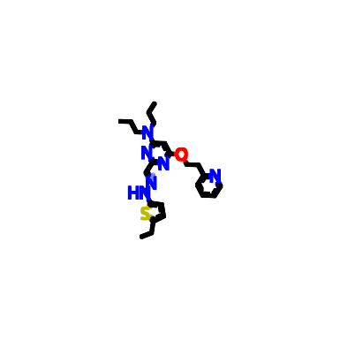 CCCN(CCC)c1cc(OCCc2ccccn2)nc(/C=N/Nc2ccc(CC)s2)n1